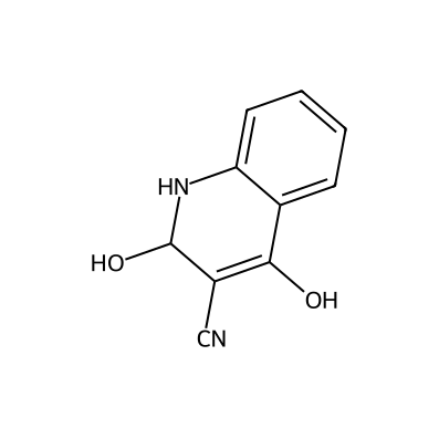 N#CC1=C(O)c2ccccc2NC1O